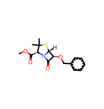 COC(=O)[C@@H]1N2C(=O)[C@H](OCc3ccccc3)[C@H]2SC1(C)C